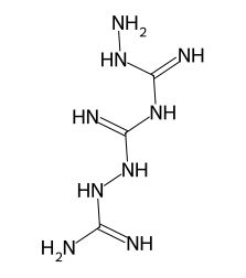 N=C(N)NNC(=N)NC(=N)NN